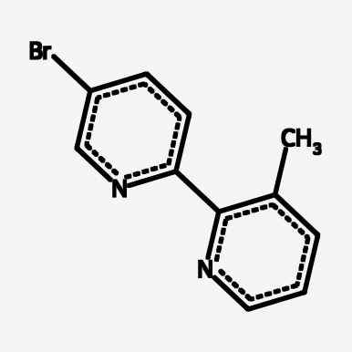 Cc1cccnc1-c1ccc(Br)cn1